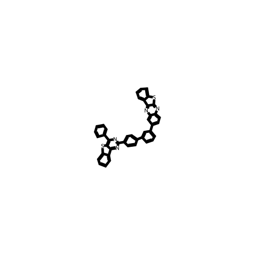 c1ccc(-c2nc(-c3ccc(-c4cccc(-c5ccc6nc7sc8ccccc8c7nc6c5)c4)cc3)nc3c2sc2ccccc23)cc1